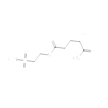 C[C@@H](C[CH]C(=O)NCCS(N)(=O)=O)C(N)=O